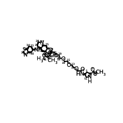 COC(=O)[C@@H]1C[C@H](NC(=O)COCCOCCOCCOCCOc2cc3nccc(Nc4ccc5scnc5c4)c3cc2S(=O)(=O)C(C)(C)C)CN1